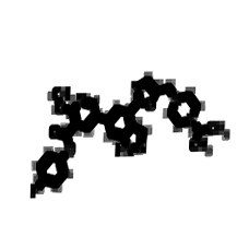 COc1ncc(-c2cc(-c3ncc(CN4CCN(C(C)C)CC4)o3)c3cn[nH]c3c2)cc1C(=O)Oc1ccc(F)cc1